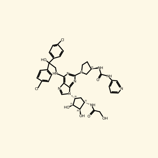 O=C(CO)N[C@H]1C[C@@H](n2cnc3c(NCC(O)(c4ccc(Cl)cc4)c4ccc(Cl)cc4)nc(N4CC[C@@H](NC(=O)Nc5cccnc5)C4)nc32)[C@H](O)[C@@H]1O